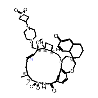 CO[C@@]1(CN2CCN(C3CS(=O)(=O)C3)CC2)/C=C/C[C@H](C)[C@@H](C)S(=O)(=O)NC(=O)c2ccc3c(c2)N(C[C@@H]2CC[C@H]21)C[C@@]1(CCCC2C=C(Cl)C=CC21)CO3